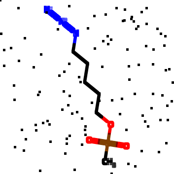 CS(=O)(=O)OCCCCCN=[N+]=[N-]